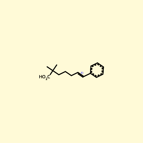 CC(C)(CCC/C=C/c1ccccc1)C(=O)O